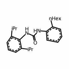 CCCCCCc1ccccc1NC(=O)Nc1c(C(C)C)cccc1C(C)C